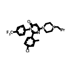 Cc1cc(Cl)ccc1-c1nc(N2CCN(CC(C)C)CC2)cc(=O)n1-c1ccc(C(F)(F)F)cc1